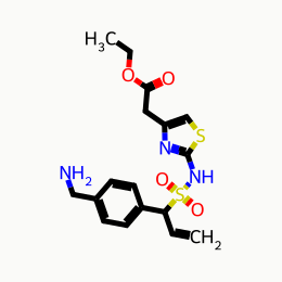 C=CC(c1ccc(CN)cc1)S(=O)(=O)Nc1nc(CC(=O)OCC)cs1